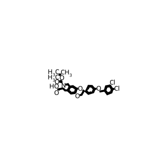 CC(C)(C)OC(=O)N1Cc2cc3c(cc2CC1C(=O)O)OC[C@H](c1ccc(OCc2ccc(Cl)c(Cl)c2)cc1)O3